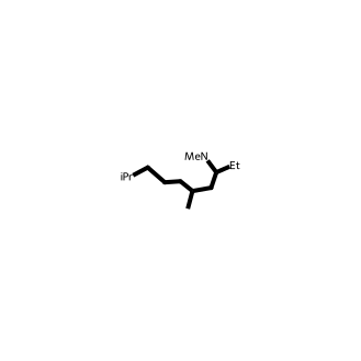 CCC(CC(C)CCCC(C)C)NC